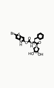 O=C(N[C@@H](Cc1ccccc1)C(=O)N1C[C@@H](O)[C@H](O)C1)Oc1cc2sc(Br)cc2[nH]1